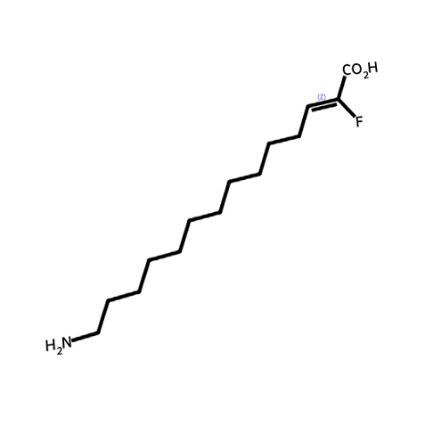 NCCCCCCCCCCC/C=C(\F)C(=O)O